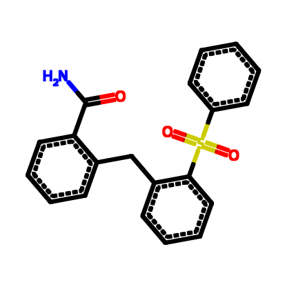 NC(=O)c1ccccc1Cc1ccccc1S(=O)(=O)c1ccccc1